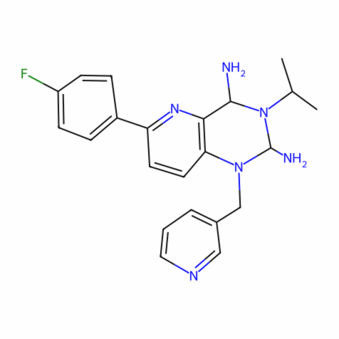 CC(C)N1C(N)c2nc(-c3ccc(F)cc3)ccc2N(Cc2cccnc2)C1N